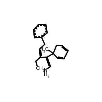 CCC(=C/Cc1ccccc1)/C(=C\N)C1(C)C=CC=CC1